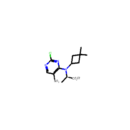 CCOC(=O)[C@@H](C)N(c1nc(Cl)ncc1[N+](=O)[O-])C1CC(C)(C)C1